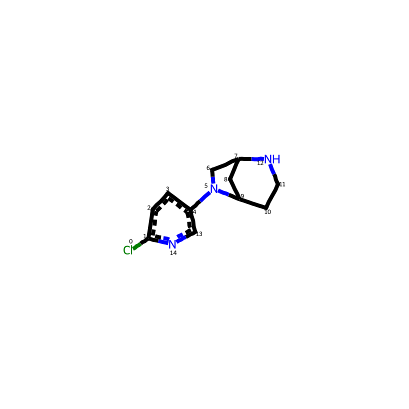 Clc1ccc(N2CC3CC2CCN3)cn1